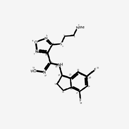 CNCCSc1nonc1/C(=N\O)NC1CCc2c(F)cc(F)cc21